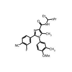 CCCC(CC)NC(=O)c1nc(-c2ccc(C#N)c(F)c2)n(-c2ccc(OC)c(C)c2)c1C